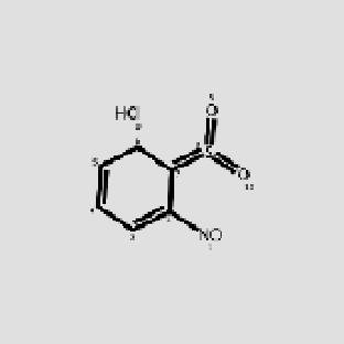 Cl.O=NC1=CC=CCC1=S(=O)=O